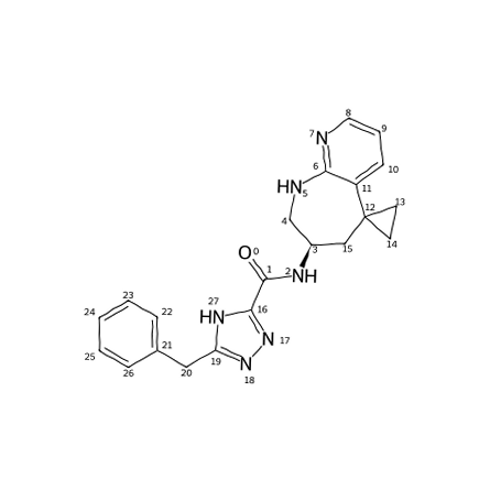 O=C(N[C@H]1CNc2ncccc2C2(CC2)C1)c1nnc(Cc2ccccc2)[nH]1